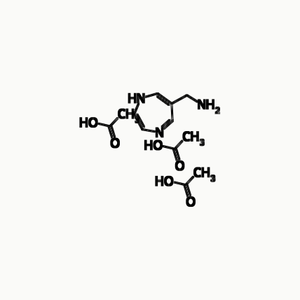 CC(=O)O.CC(=O)O.CC(=O)O.NCC1=CNC=CN=C1